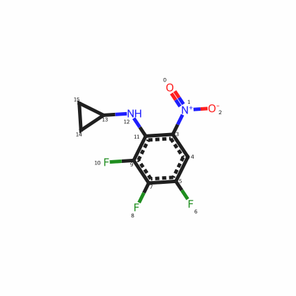 O=[N+]([O-])c1cc(F)c(F)c(F)c1NC1CC1